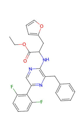 CCOC(=O)C(Cc1ccco1)Nc1ncc(-c2c(F)cccc2F)nc1Cc1ccccc1